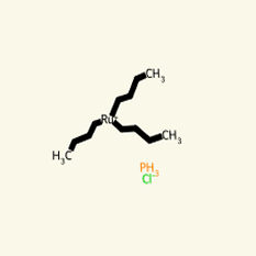 CCC[CH2][Ru+]([CH2]CCC)[CH2]CCC.P.[Cl-]